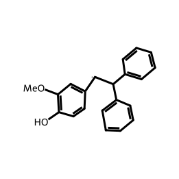 COc1cc([CH]C(c2ccccc2)c2ccccc2)ccc1O